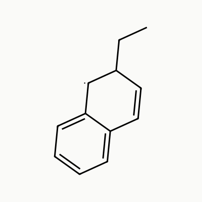 CCC1[CH]c2ccccc2C=C1